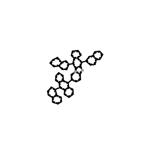 c1ccc2cc(-c3c4ccccc4c(-c4ccc5ccccc5c4)c4c3nc3ccc(-c5c6ccccc6c(-c6cccc7ccccc67)c6ccccc56)cn34)ccc2c1